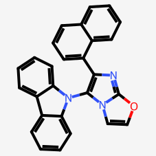 c1ccc2c(-c3nc4occn4c3-n3c4ccccc4c4ccccc43)cccc2c1